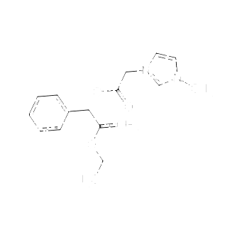 C=C(OCC)[C@@H](OC(=O)C[n+]1ccn(C)c1)c1ccccc1